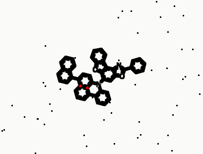 c1ccc(-c2nc3c(cc(N(c4ccc(-c5cccc6ccccc56)cc4)c4ccccc4-c4ccccc4)c4oc5ccccc5c43)o2)cc1